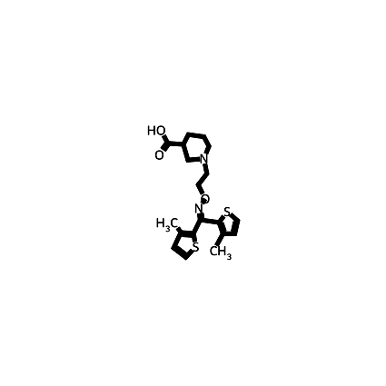 Cc1ccsc1C(=NOCCN1CCCC(C(=O)O)C1)c1sccc1C